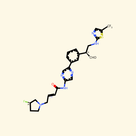 O=C[C@H](CNc1ncc(C(F)(F)F)s1)c1cccc(-c2cnc(NC(=O)/C=C/CN3CC[C@@H](F)C3)cn2)c1